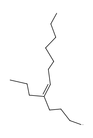 [CH2]CCCC(=CCCCCCC)CCC